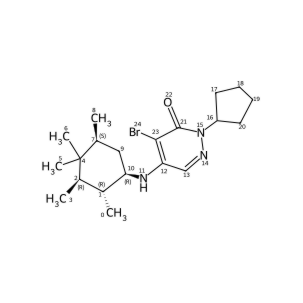 C[C@@H]1[C@@H](C)C(C)(C)[C@@H](C)C[C@H]1Nc1cnn(C2CCCC2)c(=O)c1Br